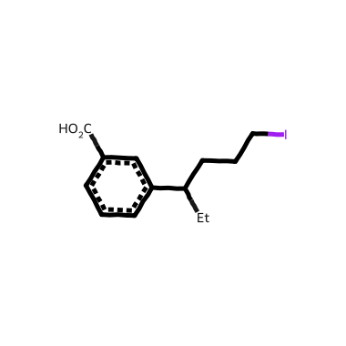 CCC(CCCI)c1cccc(C(=O)O)c1